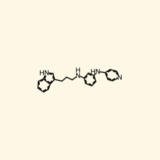 c1cc(NCCCc2c[nH]c3ccccc23)cc(Nc2ccncc2)c1